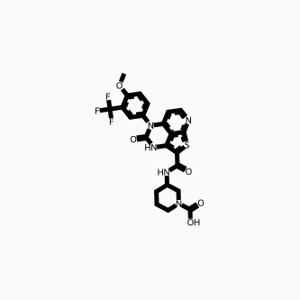 COc1ccc(N2C(=O)Nc3c(C(=O)NC4CCCN(C(=O)O)C4)sc4nccc2c34)cc1C(F)(F)F